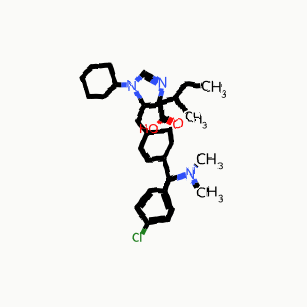 CCC(C)C1(C(=O)O)N=CN(C2CCCCC2)C1CC1CCC(C(c2ccc(Cl)cc2)N(C)C)CC1